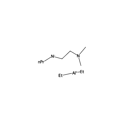 CCC[N-]CCN(C)C.C[CH2][Al+][CH2]C